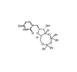 CC(C)[Si]1(C(C)C)OC[C@H]2O[C@@H](Cn3ccc(=O)[nH]c3=O)[C@H](O)[C@@H]2O[Si](C(C)C)(C(C)C)O1